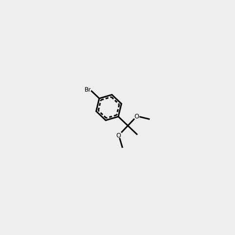 COC(C)(OC)c1ccc(Br)cc1